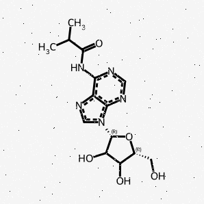 CC(C)C(=O)Nc1ncnc2c1ncn2[C@@H]1O[C@H](CO)C(O)C1O